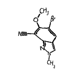 COc1c(Br)cc2cn(C)nc2c1C#N